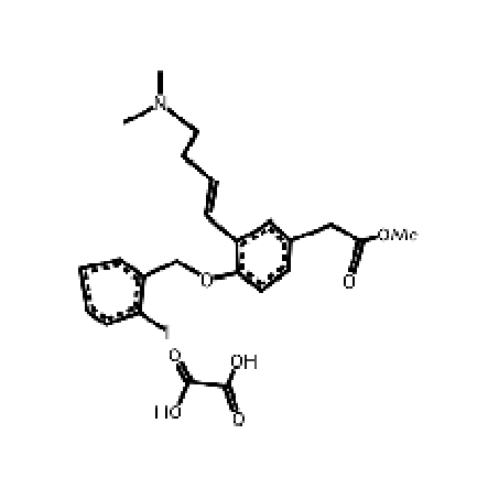 COC(=O)Cc1ccc(OCc2ccccc2I)c(C=CCCN(C)C)c1.O=C(O)C(=O)O